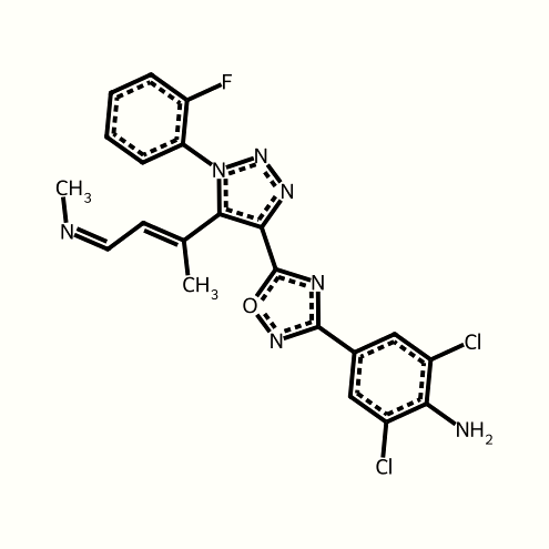 C/N=C\C=C(/C)c1c(-c2nc(-c3cc(Cl)c(N)c(Cl)c3)no2)nnn1-c1ccccc1F